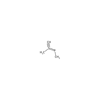 C#S(C)=PC